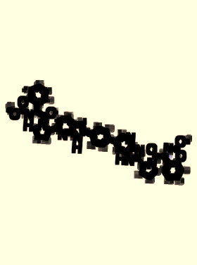 COC(=O)/N=C(/C(=O)N1CCC[C@H]1c1nc2ncc(-c3ccc(-c4cc5ccc(C6CCCN6C(=O)[C@H](NC(=O)OC)c6ccccc6)nc5[nH]4)cc3)cc2[nH]1)c1ccccc1